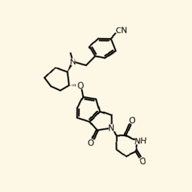 CN(Cc1ccc(C#N)cc1)[C@@H]1CCCC[C@H]1Oc1ccc2c(c1)CN(C1CCC(=O)NC1=O)C2=O